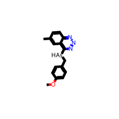 COc1ccc(C[AsH]c2nnnc3ccc(C)cc23)cc1